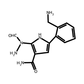 NCc1ccccc1-c1cc(C(N)=O)c(N(N)C=O)[nH]1